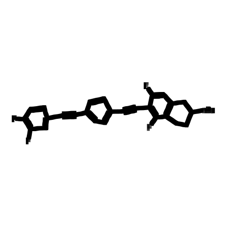 CCCCC1CCc2c(cc(F)c(C#Cc3ccc(C#Cc4ccc(F)c(F)c4)cc3)c2F)C1